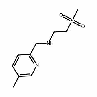 Cc1ccc(CNCCS(C)(=O)=O)nc1